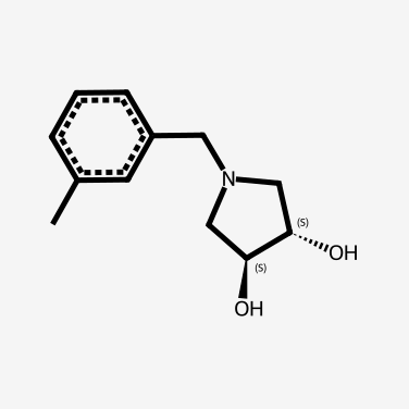 Cc1cccc(CN2C[C@H](O)[C@@H](O)C2)c1